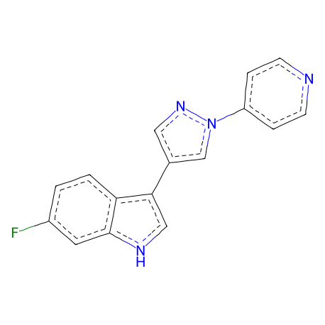 Fc1ccc2c(-c3cnn(-c4ccncc4)c3)c[nH]c2c1